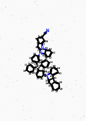 N#Cc1ccc2cc3n(-c4cccc([Si](c5ccccc5)(c5ccccc5)c5cccc(N6C7=Cc8ccccc8C7c7ccccc76)c5)c4)c4ccccc4n3c2c1